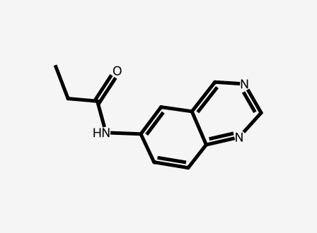 CCC(=O)Nc1ccc2ncncc2c1